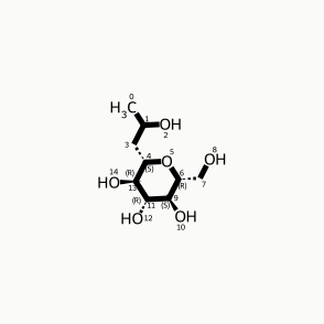 CC(O)C[C@@H]1O[C@H](CO)[C@@H](O)[C@H](O)[C@H]1O